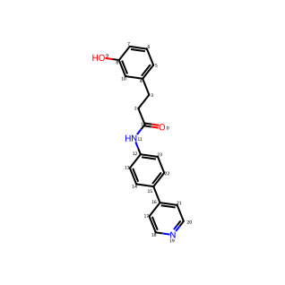 O=C(CCc1cccc(O)c1)Nc1ccc(-c2ccncc2)cc1